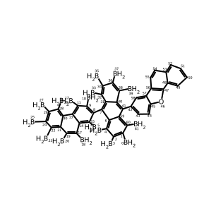 Bc1c(B)c(B)c2c(-c3c(B)c(B)c4c(c3B)c(B)c(B)c3c(B)c(B)c(B)c(B)c34)c3c(B)c(B)c(B)c(B)c3c(-c3ccc4oc5c6ccccc6ccc5c4c3)c2c1B